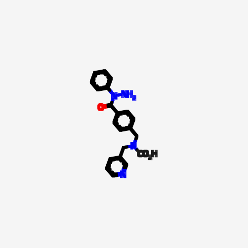 NN(C(=O)c1ccc(CN(Cc2cccnc2)C(=O)O)cc1)c1ccccc1